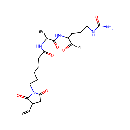 C=CC1CC(=O)N(CCCCCC(=O)N[C@H](C(=O)N[C@@H](CCCNC(N)=O)C(=O)C(C)C)C(C)C)C1=O